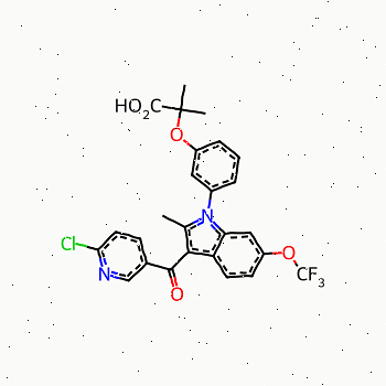 Cc1c(C(=O)c2ccc(Cl)nc2)c2ccc(OC(F)(F)F)cc2n1-c1cccc(OC(C)(C)C(=O)O)c1